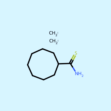 NC(=S)[C]1CCCCCCC1.[CH2].[CH2]